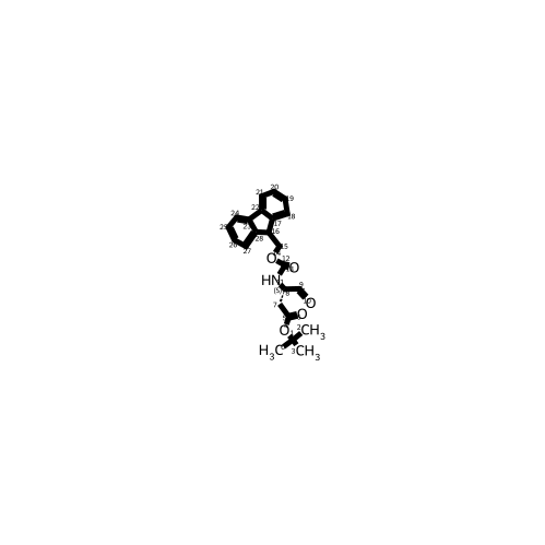 CC(C)(C)OC(=O)C[C@@H]([C]=O)NC(=O)OCC1c2ccccc2-c2ccccc21